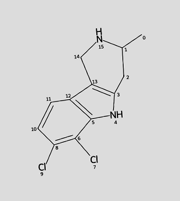 CC1Cc2[nH]c3c(Cl)c(Cl)ccc3c2CN1